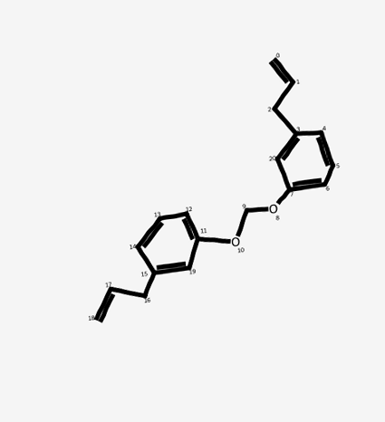 C=CCc1cccc(OCOc2cccc(CC=C)c2)c1